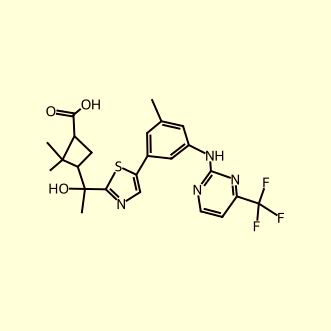 Cc1cc(Nc2nccc(C(F)(F)F)n2)cc(-c2cnc(C(C)(O)C3CC(C(=O)O)C3(C)C)s2)c1